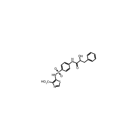 O=C(O)c1ncsc1NS(=O)(=O)c1ccc(NC(=O)C(O)Cc2ccccc2)cc1